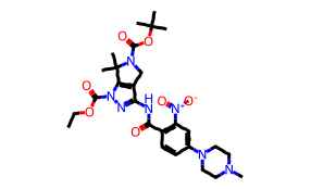 CCOC(=O)n1nc(NC(=O)c2ccc(N3CCN(C)CC3)cc2[N+](=O)[O-])c2c1C(C)(C)N(C(=O)OC(C)(C)C)C2